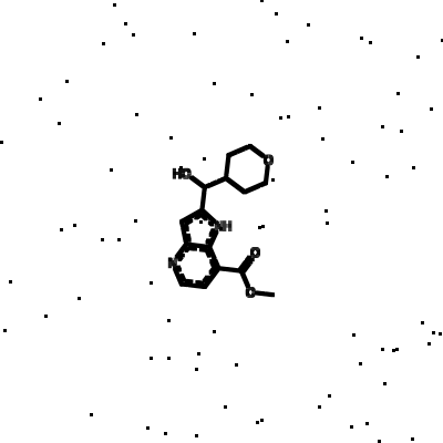 COC(=O)c1ccnc2cc(C(O)C3CCOCC3)[nH]c12